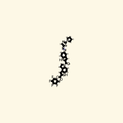 O=C(Oc1c(F)c(F)c(F)c(F)c1F)c1cc2c3c(ccc2[nH]1)N(C(=O)c1cc2cc(/N=N/c4cnc(N5CCCC5)s4)ccc2[nH]1)CC3